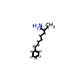 CCC(CN)CCCCCCc1ccccc1